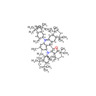 Cc1cc2c3c(c1)N(c1ccc4c(c1C)C(C)(C)CCC4(C)C)c1c(oc4c1C(C)(C)CCC4(C)C)B3c1cc3c(cc1N2c1cc(C(C)(C)C)c(C(C)(C)C)cc1C)C(C)(C)CCC3(C)C